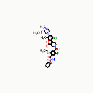 CCOc1cc(C(=O)N2CCc3c(c(=O)oc4c(C)c(N5CCN(C)[C@@H](COC)C5)cc(Cl)c34)C2)c(F)cc1C(=O)NS(=O)(=O)N1C2CCC1CC2